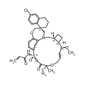 C=CC(=O)N[S@]1(=O)=NC(=O)C(C)(C)OC/C=C/[C@H](OC)[C@@H]2CC[C@H]2CN2C[C@@]3(CCCc4cc(Cl)ccc43)COc3ccc1cc32